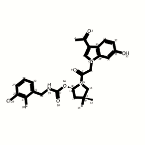 CC(=O)c1cn(CC(=O)N2C[C@](C)(F)C[C@@H]2OC(=O)NCc2cccc(Cl)c2F)c2cc(O)ccc12